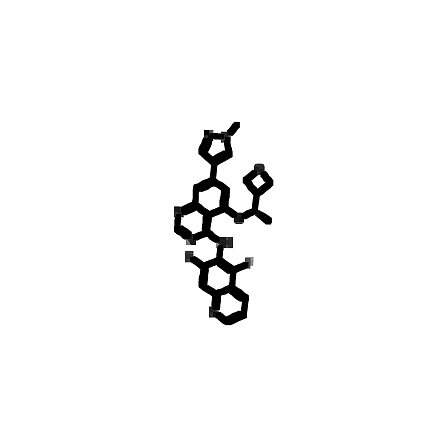 C[C@@H](Oc1cc(-c2cnn(C)c2)cc2ncnc(Nc3c(F)cc4ncccc4c3F)c12)C1COC1